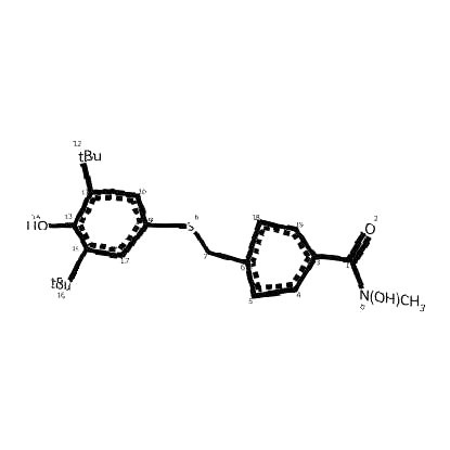 CN(O)C(=O)c1ccc(CSc2cc(C(C)(C)C)c(O)c(C(C)(C)C)c2)cc1